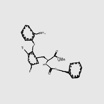 COC(=O)[C@H](Cc1cc(F)cc(F)c1Sc1ccccc1N)NC(=O)OCc1ccccc1